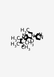 CCCN(C(=O)c1cnn(C(C)C(C)SC)c1C)c1ccnnc1